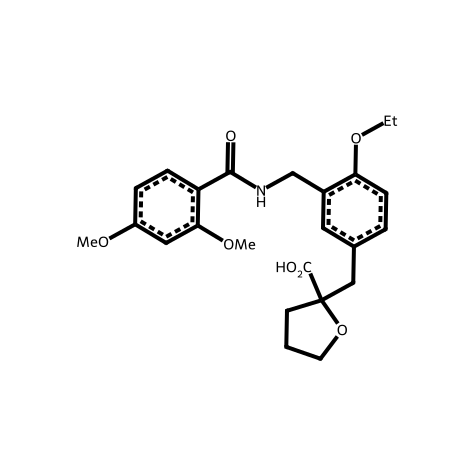 CCOc1ccc(CC2(C(=O)O)CCCO2)cc1CNC(=O)c1ccc(OC)cc1OC